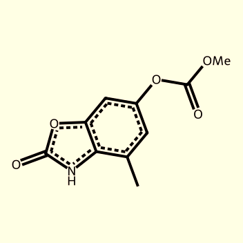 COC(=O)Oc1cc(C)c2[nH]c(=O)oc2c1